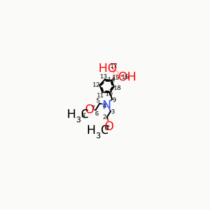 COCCN(CCOC)Cc1cccc(B(O)O)c1